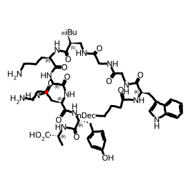 CCCCCCCCCCCCCC(=O)N[C@H](Cc1c[nH]c2ccccc12)C(=O)NCC(=O)NCC(=O)NC[C@@H](C(=O)N[C@H](CCCN)C(=O)N[C@H](CCCN)C(=O)N[C@H](CC(N)=O)C(=O)N[C@H](Cc1ccc(O)cc1)C(=O)N[C@H](C)C(=O)O)[C@H](C)CC